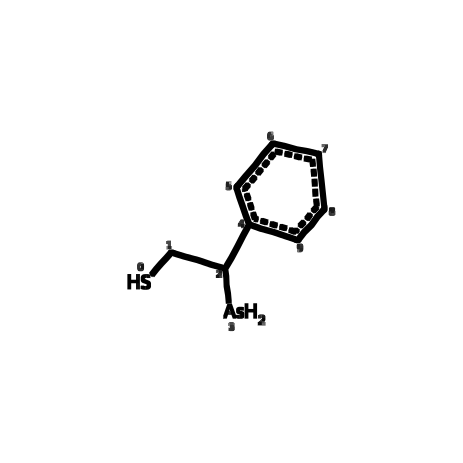 SCC([AsH2])c1ccccc1